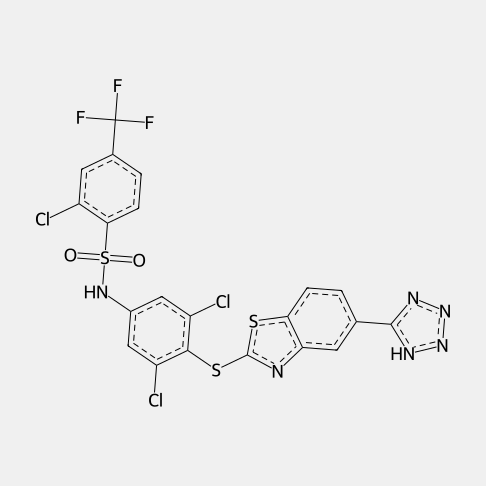 O=S(=O)(Nc1cc(Cl)c(Sc2nc3cc(-c4nnn[nH]4)ccc3s2)c(Cl)c1)c1ccc(C(F)(F)F)cc1Cl